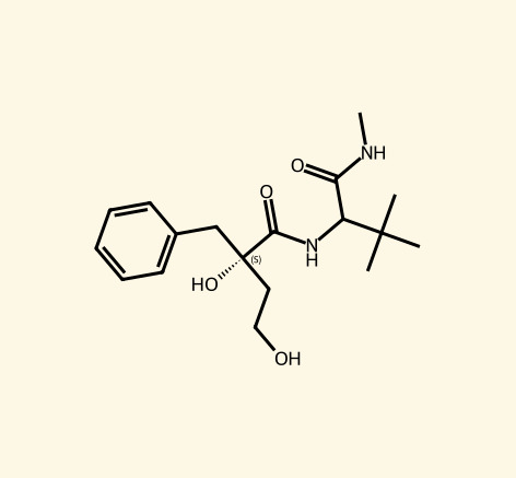 CNC(=O)C(NC(=O)[C@@](O)(CCO)Cc1ccccc1)C(C)(C)C